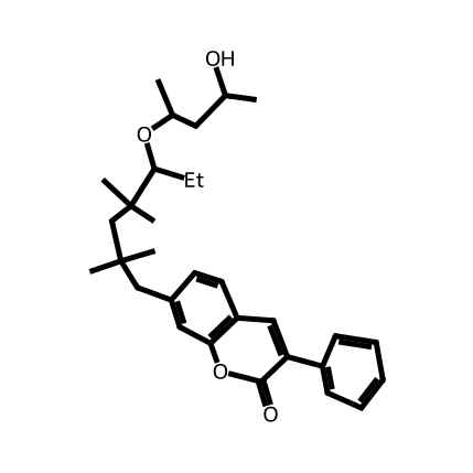 CCC(OC(C)CC(C)O)C(C)(C)CC(C)(C)Cc1ccc2cc(-c3ccccc3)c(=O)oc2c1